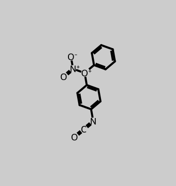 O=C=Nc1ccc([O+](c2ccccc2)[N+](=O)[O-])cc1